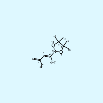 C=C(F)/C=C(\CC)B1OC(C)(C)C(C)(C)O1